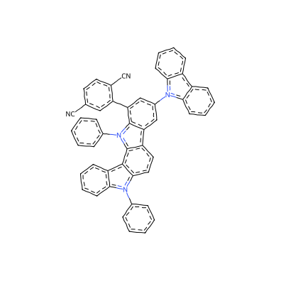 N#Cc1ccc(C#N)c(-c2cc(-n3c4ccccc4c4ccccc43)cc3c4ccc5c(c6ccccc6n5-c5ccccc5)c4n(-c4ccccc4)c23)c1